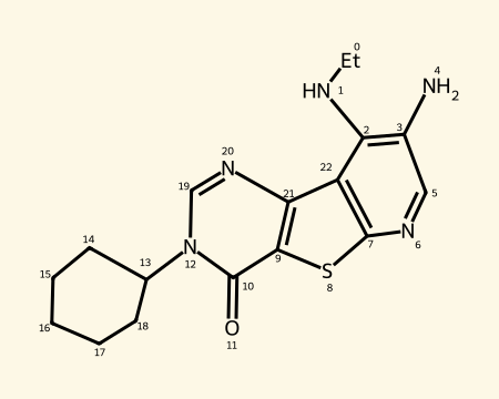 CCNc1c(N)cnc2sc3c(=O)n(C4CCCCC4)cnc3c12